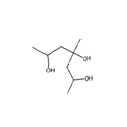 [CH2]C(O)(CC(C)O)CC(C)O